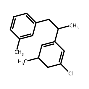 Cc1cccc(CC(C)C2=CC(C)CC(Cl)=C2)c1